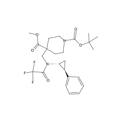 COC(=O)C1(CN(C(=O)C(F)(F)F)[C@@H]2C[C@H]2c2ccccc2)CCN(C(=O)OC(C)(C)C)CC1